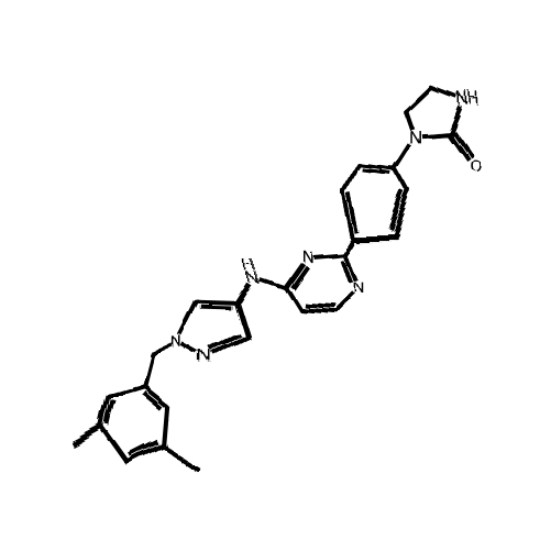 Cc1cc(C)cc(Cn2cc(Nc3ccnc(-c4ccc(N5CCNC5=O)cc4)n3)cn2)c1